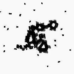 NC(=O)c1cnc(Nc2ccc(N3CCOCC3)cc2)cc1N[C@H](O)c1ccccc1